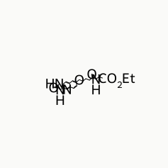 CCOC(=O)CNC(=O)CCCOc1ccc2nc3[nH]c(=O)[nH]c3cc2c1